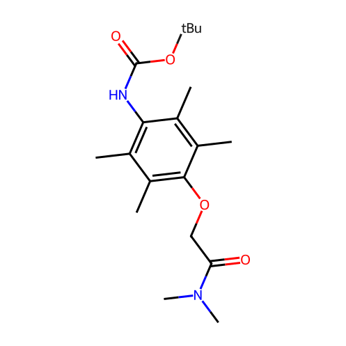 Cc1c(C)c(OCC(=O)N(C)C)c(C)c(C)c1NC(=O)OC(C)(C)C